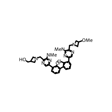 CNc1nc(-c2cccc(-c3cccc(-c4cnc(CN5CC(OC)C5)c(NC)n4)c3Cl)c2Cl)cnc1CN1CC(CO)C1